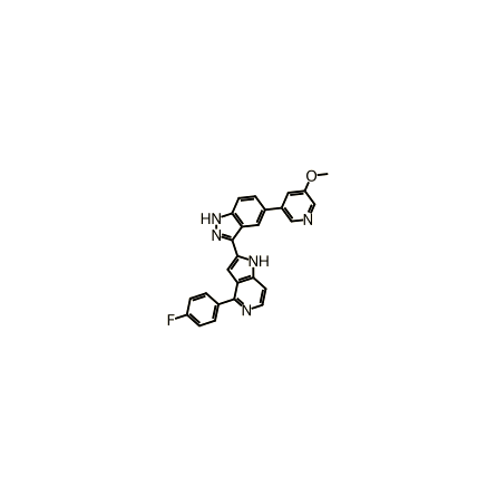 COc1cncc(-c2ccc3[nH]nc(-c4cc5c(-c6ccc(F)cc6)nccc5[nH]4)c3c2)c1